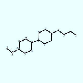 CCCCC1CCC(C2CCC(OC)CC2)CC1